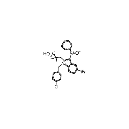 CC(C)c1ccc2c(c1)c([S+]([O-])c1ccccc1)c(CC(C)(C)C(=O)O)n2Cc1ccc(Cl)cc1